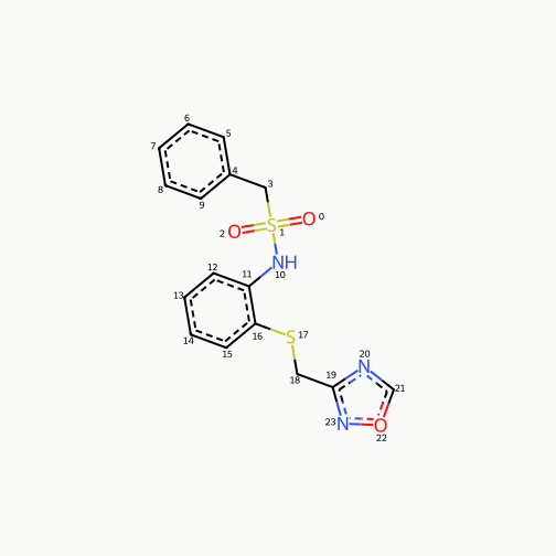 O=S(=O)(Cc1ccccc1)Nc1ccccc1SCc1ncon1